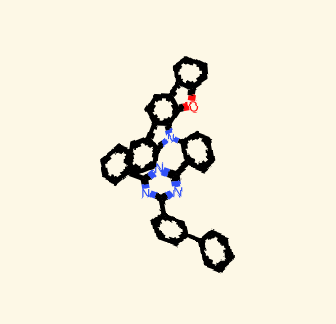 c1ccc(-c2cccc(-c3nc(-c4ccccc4)nc(-c4ccccc4-n4c5ccccc5c5ccc6c7ccccc7oc6c54)n3)c2)cc1